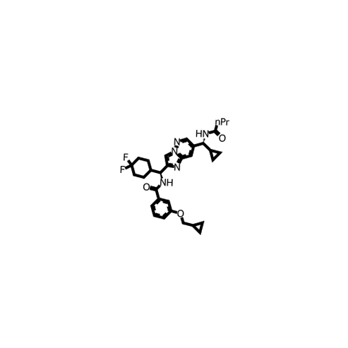 CCCC(=O)N[C@@H](c1cnn2cc([C@@H](NC(=O)c3cccc(OCC4CC4)c3)C3CCC(F)(F)CC3)nc2c1)C1CC1